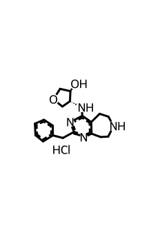 Cl.O[C@@H]1COC[C@H]1Nc1nc(Cc2ccccc2)nc2c1CCNCC2